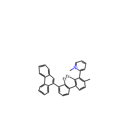 CCc1c(-c2ccc(C)c(-c3cccc[n+]3C)c2CC)cccc1-c1cc2ccccc2c2ccccc12